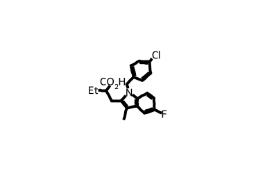 CCC(Cc1c(C)c2cc(F)ccc2n1Cc1ccc(Cl)cc1)C(=O)O